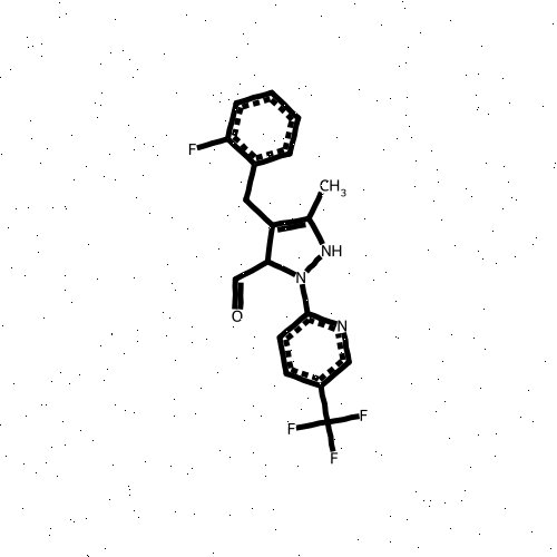 CC1=C(Cc2ccccc2F)C(C=O)N(c2ccc(C(F)(F)F)cn2)N1